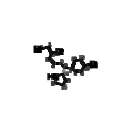 CC/C=C(\C=C/CC(c1ccc(CC)cc1)[C@@H]1CCCN1)CC